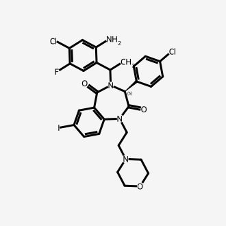 CC(c1cc(F)c(Cl)cc1N)N1C(=O)c2cc(I)ccc2N(CCN2CCOCC2)C(=O)[C@@H]1c1ccc(Cl)cc1